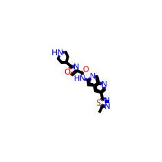 Cc1nnc(-c2cnc3cnc(NC(=O)c4coc(C5CCNCC5)n4)cc3c2)s1